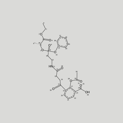 CCOC(=O)[C@@H](C)OP(=O)(CCNC(=O)CCC(=O)c1cccc(C(=O)O)c1OC(C)=O)Oc1ccccc1